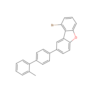 Cc1ccccc1-c1ccc(-c2ccc3oc4cccc(Br)c4c3c2)cc1